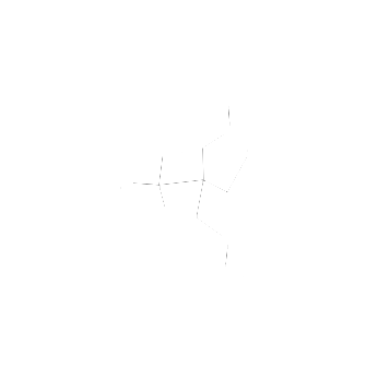 CCC(COC)(COC)C(C)(C)C